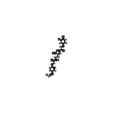 COc1ccc(OCC(=O)NCC[C@H](O)CNC(=O)COc2ccc(Cl)c(F)c2)nc1